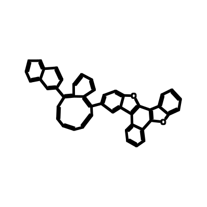 c1cccc(-c2ccc3oc4c(c3c2)c2ccccc2c2oc3ccccc3c24)c2ccccc2c(-c2ccc3ccccc3c2)cc1